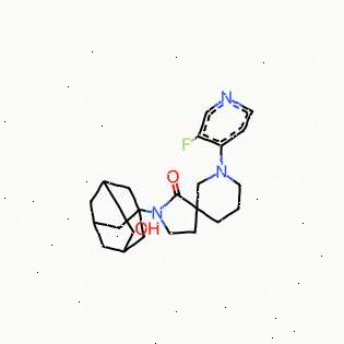 O=C1N(C23CC4CC(C2)C(O)C(C4)C3)CCC12CCCN(c1ccncc1F)C2